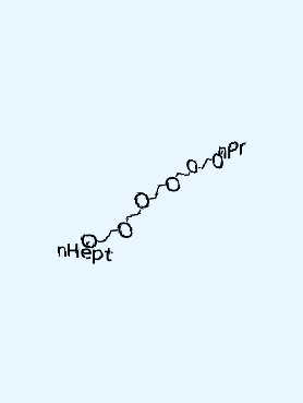 CCCCCCCOCCOCCOCCOCCOCCOCCC